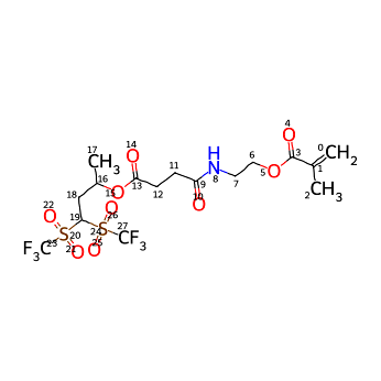 C=C(C)C(=O)OCCNC(=O)CCC(=O)OC(C)CC(S(=O)(=O)C(F)(F)F)S(=O)(=O)C(F)(F)F